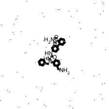 NCc1cccc(N(Cc2ccccc2)NC(=O)Nc2ccc(-c3ccccc3S(N)(=O)=O)cc2)c1